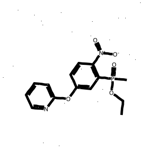 CCOP(C)(=O)c1cc(Oc2ccccn2)ccc1[N+](=O)[O-]